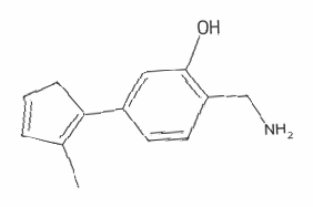 CC1=C(c2ccc(CN)c(O)c2)CC=C1